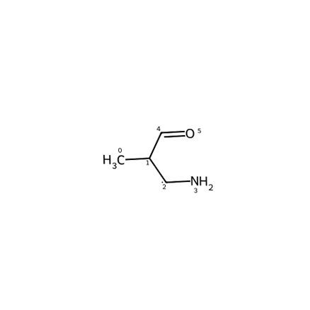 CC([CH]N)C=O